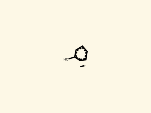 Oc1ccccc1.[CH2]C